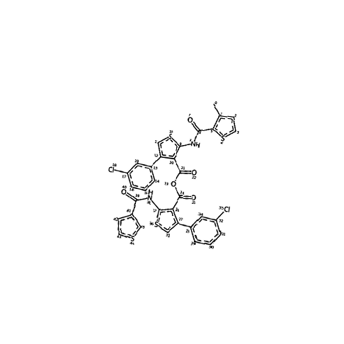 Cc1ccsc1C(=O)Nc1scc(-c2cccc(Cl)c2)c1C(=O)OC(=O)c1c(-c2cccc(Cl)c2)csc1NC(=O)c1ccsc1